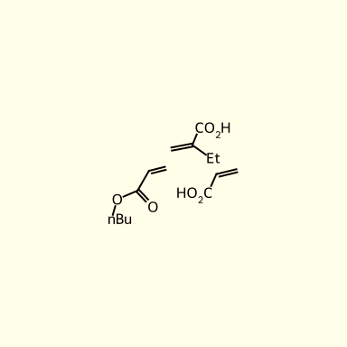 C=C(CC)C(=O)O.C=CC(=O)O.C=CC(=O)OCCCC